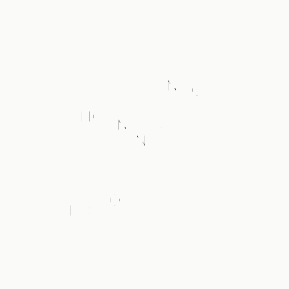 CNc1cnn(CCOC)c1.Cl